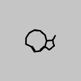 CC1CC/C2=C/C=C/CCCCCCC21